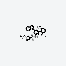 Cc1cccc(C)c1-c1cc(-n2ccc3ccccc32)nc(NS(=O)(=O)c2cnn(C)c2)n1